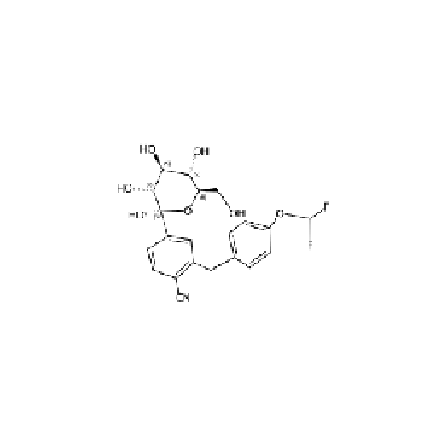 N#Cc1ccc([C@]2(O)O[C@H](CO)[C@@H](O)[C@H](O)[C@H]2O)cc1Cc1ccc(OC(F)F)cc1